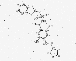 O=C(NS(=O)(=O)CC1Cc2ccccc2C1)c1cc(Cl)c(OCC2CCCC2)cc1F